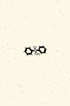 [O][Si](O)(c1ccccc1)c1ccccc1